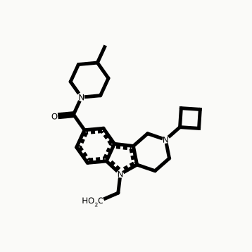 CC1CCN(C(=O)c2ccc3c(c2)c2c(n3CC(=O)O)CCN(C3CCC3)C2)CC1